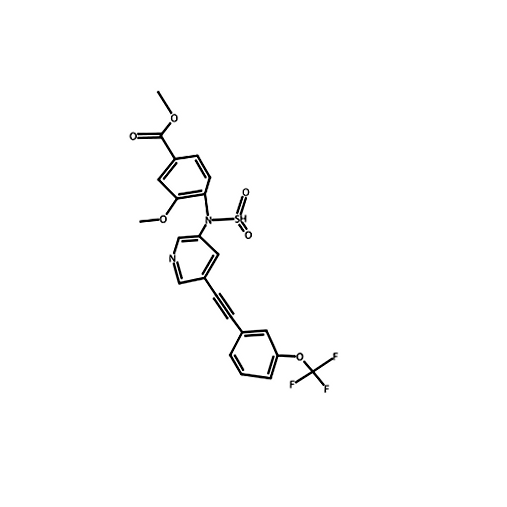 COC(=O)c1ccc(N(c2cncc(C#Cc3cccc(OC(F)(F)F)c3)c2)[SH](=O)=O)c(OC)c1